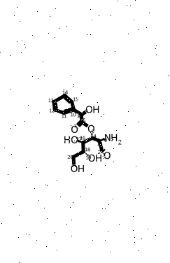 N[C@@H](C=O)[C@@H](OC(=O)C(O)c1ccccc1)[C@H](O)[C@H](O)CO